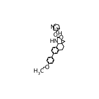 CCOc1ccc(-c2ccc3c(c2)CCC2(CC2)C3NC(=O)O[C@H]2CN3CCC2CC3)cc1